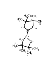 CC1(C)OB(B2OC(C)(C)C(C)(O)O2)OC1(C)C